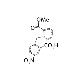 COC(=O)c1ccccc1Cc1ccc([N+](=O)[O-])cc1C(=O)O